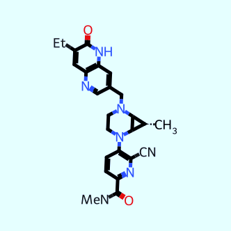 CCc1cc2ncc(CN3CCN(c4ccc(C(=O)NC)nc4C#N)C4C3[C@@H]4C)cc2[nH]c1=O